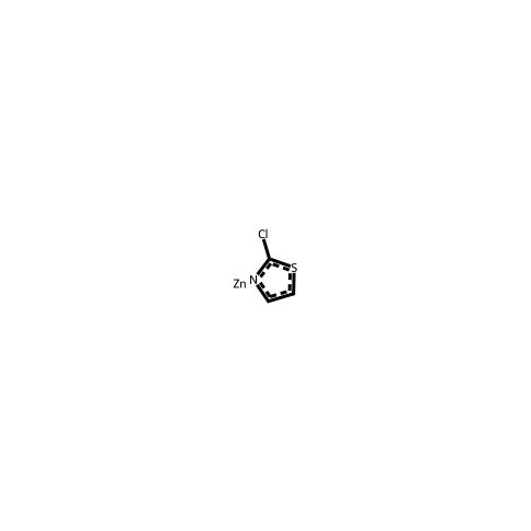 Clc1nccs1.[Zn]